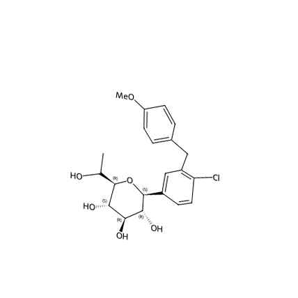 COc1ccc(Cc2cc([C@@H]3O[C@H](C(C)O)[C@@H](O)[C@H](O)[C@H]3O)ccc2Cl)cc1